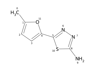 Cc1ccc(-c2nnc(N)s2)o1